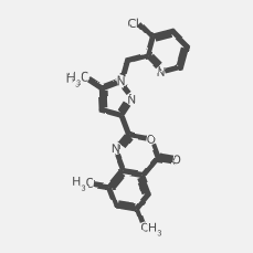 Cc1cc(C)c2nc(-c3cc(C)n(Cc4ncccc4Cl)n3)oc(=O)c2c1